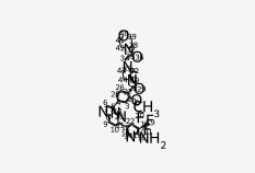 COc1cc(-c2cnc3ccc(-c4cnc(N)c(C(F)(F)F)c4)nn23)ccc1C(=O)N1CCN(CC(=O)N2CCOCC2)CC1